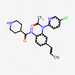 N#C/C=C/c1ccc(NC(=O)C2CCNCC2)c(N(C(=O)C(F)(F)F)c2ccc(Cl)cn2)c1